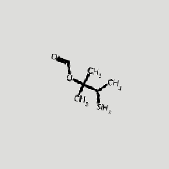 CC([SiH3])C(C)(C)OC=O